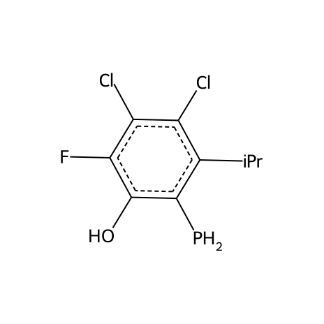 CC(C)c1c(P)c(O)c(F)c(Cl)c1Cl